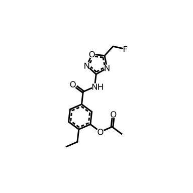 CCc1ccc(C(=O)Nc2noc(CF)n2)cc1OC(C)=O